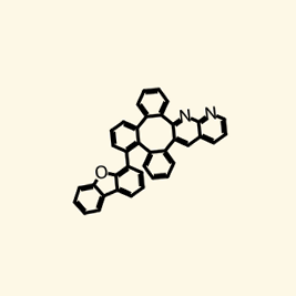 c1ccc2c(c1)-c1cccc(-c3cccc4c3oc3ccccc34)c1-c1ccccc1-c1cc3cccnc3nc1-2